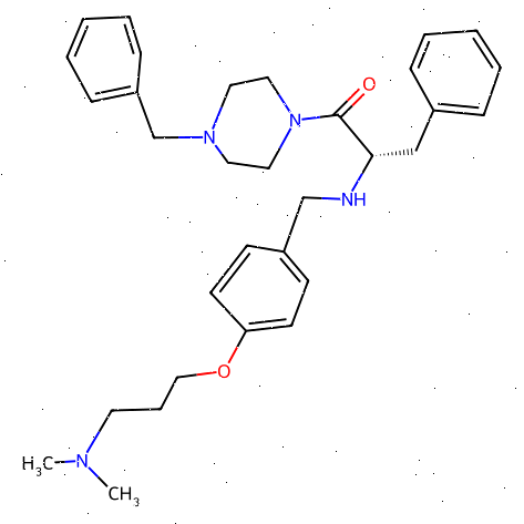 CN(C)CCCOc1ccc(CN[C@@H](Cc2ccccc2)C(=O)N2CCN(Cc3ccccc3)CC2)cc1